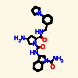 NC(=O)n1cc(NC(=O)N2C[C@@H](N)C[C@H]2C(=O)NCc2cccc(-n3cccc3)c2)c2ccccc21